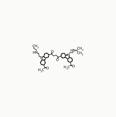 CCCNCCn1c2ccc(C(C)=O)cc2c2cc(C(=O)CCC(=O)c3ccc4c(c3)c3cc(C(C)=O)ccc3n4CCNC(C)C)ccc21